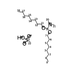 CCCCCCCCOC(OCCCCCCCC)N(C)C.CS(=O)(=O)O